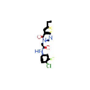 CCc1cc2c(=O)n(CC(=O)Nc3ccc(Cl)c(F)c3)cnc2s1